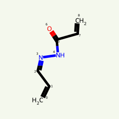 C=C/C=N\NC(=O)C=C